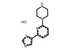 Cl.c1cc(-c2cncs2)nc(N2CCNCC2)c1